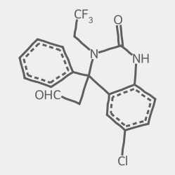 O=CCC1(c2ccccc2)c2cc(Cl)ccc2NC(=O)N1CC(F)(F)F